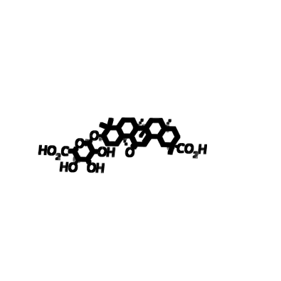 CC1(C)C2CC[C@]3(C)C(C(=O)C=C4C5C[C@@](C)(C(=O)O)CC[C@]5(C)CC[C@]43C)[C@@]2(C)CC[C@@H]1O[C@@H]1OC(C(=O)O)[C@@H](O)C(O)C1O